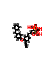 O=P(O)(O)C(CCCc1cccc(Oc2ccc(Cc3ccccc3)cc2)c1)S(=O)(=O)O.[K].[K].[K]